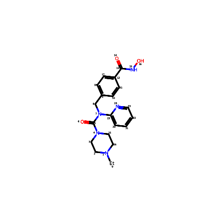 CCN1CCN(C(=O)N(Cc2ccc(C(=O)NO)cc2)c2ccccn2)CC1